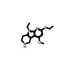 CCSc1cc(OC)c2c3c(n(CC)c2n1)CCNC3